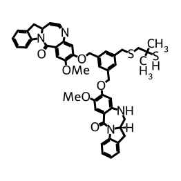 COc1cc2c(cc1OCc1cc(COc3cc4c(cc3OC)C(=O)N3c5ccccc5C[C@H]3CN4)cc(CSCC(C)(C)S)c1)N=C=CC1Cc3ccccc3N1C2=O